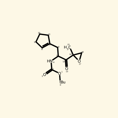 CC(C)(C)OC(=O)NC(CC1=CCCC1)C(=O)C1(C)CO1